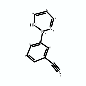 N#Cc1cccc(N2N=CC=CN2)c1